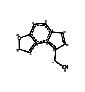 N#CCC1=c2c(ccc3c2=CCO3)C=C1